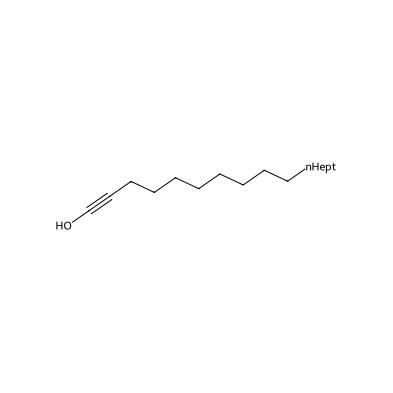 CCCCCCCCCCCCCCCC#CO